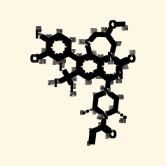 C=CC(=O)N1[C@H](C)CN(c2nc(=O)n3c4c(c(-c5ccc(F)c(Cl)c5)c(C(F)(F)F)cc24)SCC(OC)C3)C[C@@H]1C